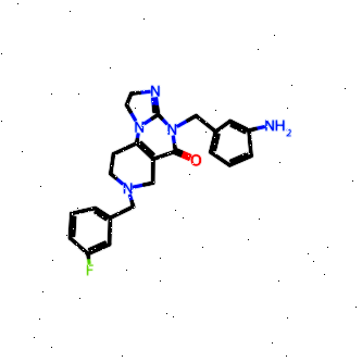 Nc1cccc(CN2C(=O)C3=C(CCN(Cc4cccc(F)c4)C3)N3CCN=C23)c1